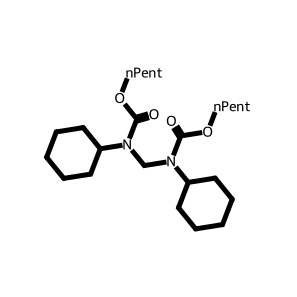 CCCCCOC(=O)N(CN(C(=O)OCCCCC)C1CCCCC1)C1CCCCC1